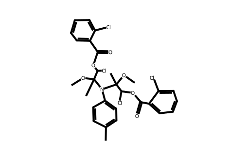 COC(C)(C(Cl)OC(=O)c1ccccc1Cl)N(c1ccc(C)cc1)C(C)(OC)C(Cl)OC(=O)c1ccccc1Cl